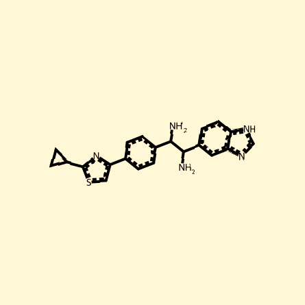 NC(c1ccc(-c2csc(C3CC3)n2)cc1)C(N)c1ccc2[nH]cnc2c1